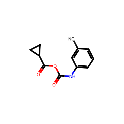 N#Cc1cccc(NC(=O)OC(=O)C2CC2)c1